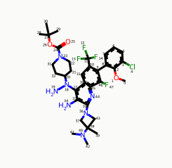 COc1c(Cl)cccc1-c1c(C(F)(F)F)cc2c(N(N)C3CCN(C(=O)OC(C)(C)C)CC3)c(N)c(N3CC(C)(N(C)C)C3)nc2c1F